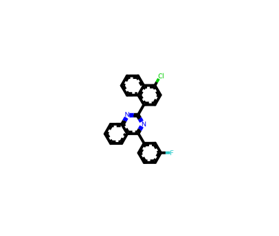 Fc1cccc(-c2nc(-c3ccc(Cl)c4ccccc34)nc3ccccc23)c1